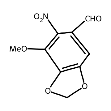 COc1c2c(cc(C=O)c1[N+](=O)[O-])OCO2